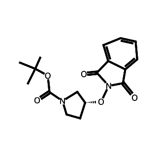 CC(C)(C)OC(=O)N1CC[C@@H](ON2C(=O)c3ccccc3C2=O)C1